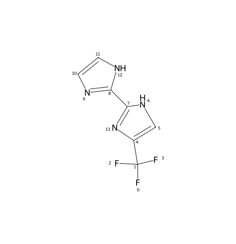 FC(F)(F)c1c[nH]c(-c2ncc[nH]2)n1